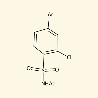 CC(=O)NS(=O)(=O)c1ccc(C(C)=O)cc1Cl